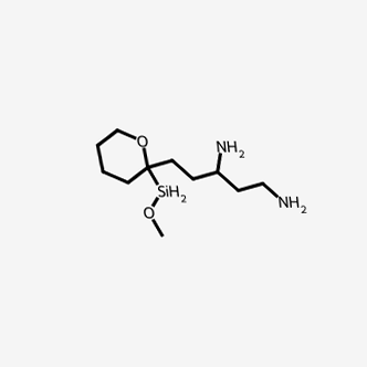 CO[SiH2]C1(CCC(N)CCN)CCCCO1